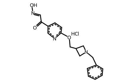 Cl.O=C(/C=N/O)c1ccc(OCC2CN(Cc3ccccc3)C2)nc1